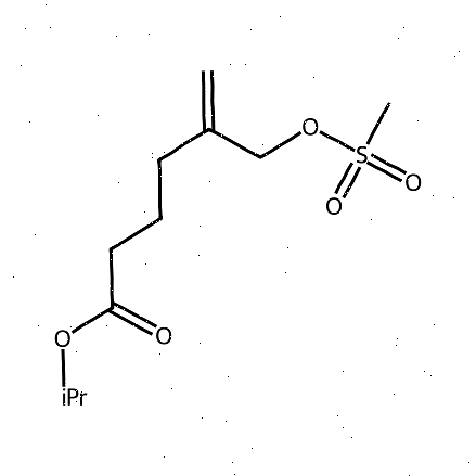 C=C(CCCC(=O)OC(C)C)COS(C)(=O)=O